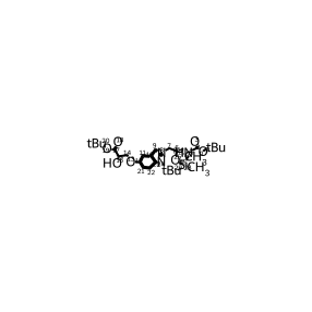 CC(C)(C)OC(=O)NC[C@H](Cn1cc2cc(OCC(O)C(=O)OC(C)(C)C)ccc2n1)O[Si](C)(C)C(C)(C)C